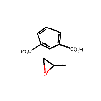 CC1CO1.O=C(O)c1cccc(C(=O)O)c1